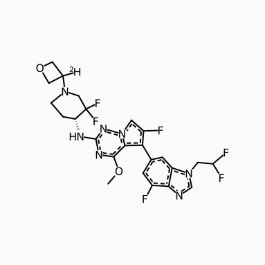 [2H]C1(N2CC[C@@H](Nc3nc(OC)c4c(-c5cc(F)c6ncn(CC(F)F)c6c5)c(F)cn4n3)C(F)(F)C2)COC1